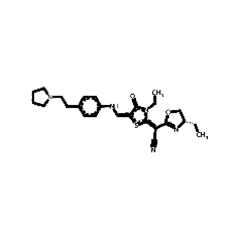 CC[C@H]1COC(C(C#N)=c2sc(=CNc3ccc(CCN4CCCC4)cc3)c(=O)n2CC)=N1